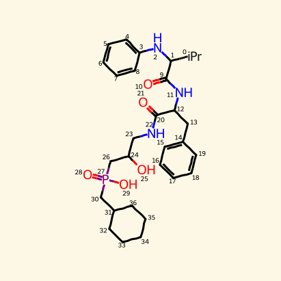 CC(C)C(Nc1ccccc1)C(=O)NC(Cc1ccccc1)C(=O)NCC(O)CP(=O)(O)CC1CCCCC1